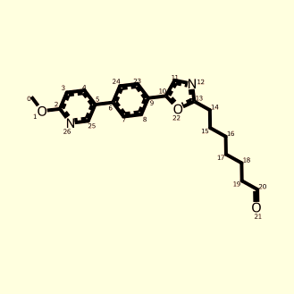 COc1ccc(-c2ccc(-c3cnc(CCCCCCC=O)o3)cc2)cn1